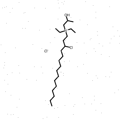 CCCCCCCCCCCCC(Cl)CC[N+](CC)(CC)CC(C)O.[Cl-]